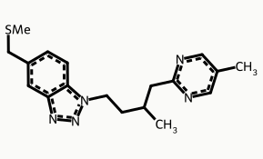 CSCc1ccc2c(c1)nnn2CCC(C)Cc1ncc(C)cn1